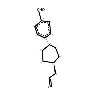 C=CC[C@H]1CC[C@H](c2ccc(C=O)cc2)CC1